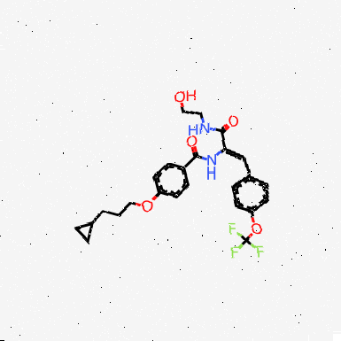 O=C(NCCO)/C(=C/c1ccc(OC(F)(F)F)cc1)NC(=O)c1ccc(OCCCC2CC2)cc1